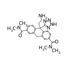 CN(C)C(=O)c1ccc2c(c1)Cc1cc(C(=O)N(C)C)ccc1C2(CCN)c1nn[nH]n1